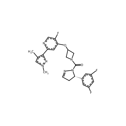 Cc1cn(C)nc1-c1cc(OC2CN(C(=O)N3N=CC[C@H]3c3cc(F)cc(F)c3)C2)c(F)cn1